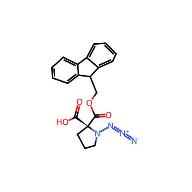 [N-]=[N+]=NN1CCC[C@]1(C(=O)O)C(=O)OCC1c2ccccc2-c2ccccc21